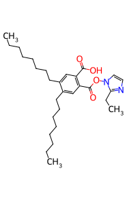 CCCCCCCCc1cc(C(=O)O)c(C(=O)On2ccnc2CC)cc1CCCCCCCC